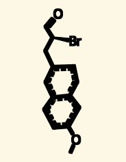 COc1ccc2cc(C[C@H](Br)C=O)ccc2c1